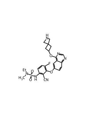 CCN(C)S(=O)(=O)Nc1ccc(F)c(Oc2ccc3ncnc(OC4CC5(CNC5)C4)c3c2)c1C#N